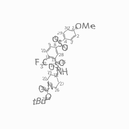 COc1ccc(S(=O)(=O)c2ccc(C(F)(F)F)c(S(=O)(=O)NC3CCN(C(=O)OC(C)(C)C)CC3)c2)cc1